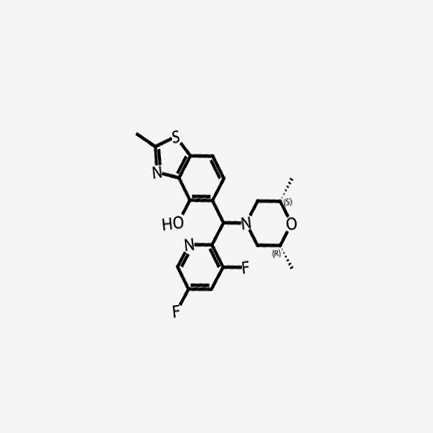 Cc1nc2c(O)c(C(c3ncc(F)cc3F)N3C[C@@H](C)O[C@@H](C)C3)ccc2s1